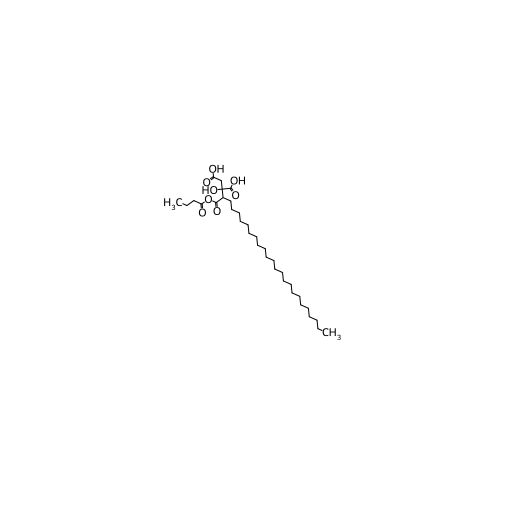 CCCCCCCCCCCCCCCCCCCCCCCC(C(=O)OC(=O)CCC)C(O)(CC(=O)O)C(=O)O